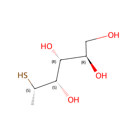 C[C@H](S)[C@@H](O)[C@H](O)[C@H](O)CO